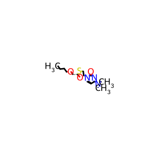 CCCCOC[C@H]1O[C@@H](n2ccc(N(C)C)nc2=O)CS1